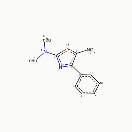 CCCCN(CCCC)c1nc(-c2ccccc2)c([N+](=O)[O-])s1